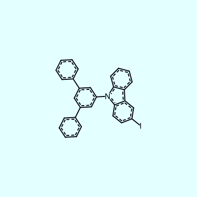 Ic1ccc2c(c1)c1ccccc1n2-c1cc(-c2ccccc2)cc(-c2ccccc2)c1